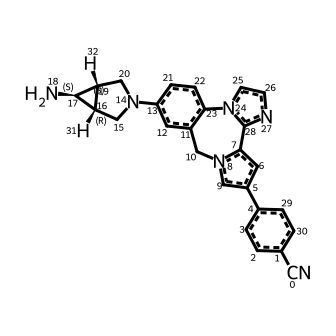 N#Cc1ccc(-c2cc3n(c2)Cc2cc(N4C[C@@H]5[C@@H](N)[C@@H]5C4)ccc2-n2ccnc2-3)cc1